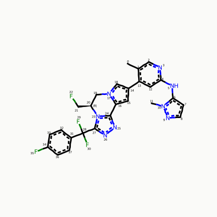 Cc1cnc(Nc2ccnn2C)cc1-c1cc2n(c1)C[C@H](CF)n1c-2nnc1C(F)(F)c1ccc(F)cc1